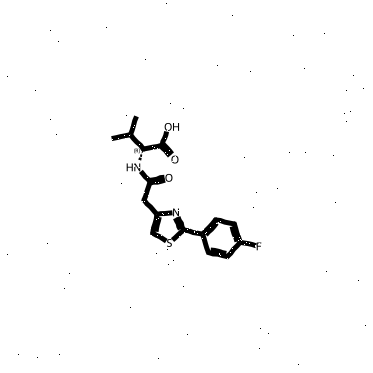 CC(C)[C@@H](NC(=O)Cc1csc(-c2ccc(F)cc2)n1)C(=O)O